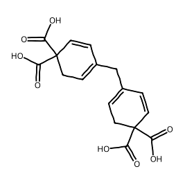 O=C(O)C1(C(=O)O)C=CC(CC2=CCC(C(=O)O)(C(=O)O)C=C2)=CC1